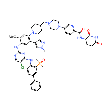 COc1cc(N2CCC(CN3CCN(c4ccc(C(=O)NC5CCC(=O)NC5=O)nc4)CC3)CC2)c(-c2cnn(C)c2)cc1Nc1ncc(Cl)c(Nc2ccc(-c3ccccc3)cc2P(C)(C)=O)n1